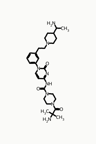 CC(N)C1CCN(CCc2cccc(-n3ccc(NC(=O)N4CCN(C(=O)C(C)(C)N)CC4)nc3=O)c2)CC1